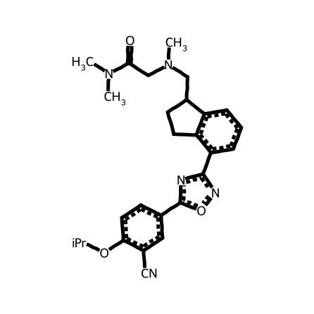 CC(C)Oc1ccc(-c2nc(-c3cccc4c3CCC4CN(C)CC(=O)N(C)C)no2)cc1C#N